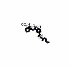 C=C(/C=C\C=C/C)c1nc(-c2ccc3c(c2)/C(=C/c2[nH]c(C(=O)O)c4c2CCCC4)C(=O)N3)cs1